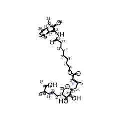 C/C(=C\C(=O)OCCCCCCCC(=O)Nc1c2sscc-2n(C)c1=O)C[C@@H]1OC[C@H](C/C=C/[C@@H](C)[C@H](C)O)[C@@H](O)[C@H]1O